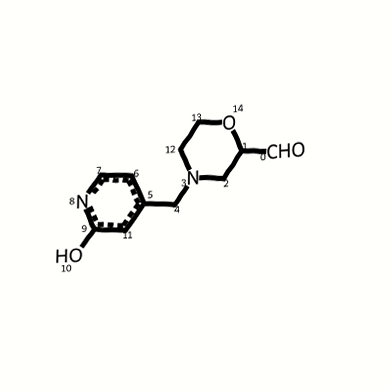 O=CC1CN(Cc2ccnc(O)c2)CCO1